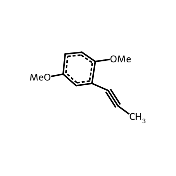 CC#Cc1cc(OC)ccc1OC